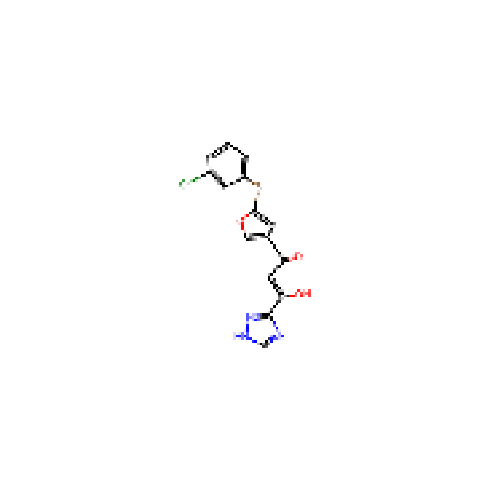 O=C(C=C(O)c1nc[nH]n1)c1coc(Sc2cccc(Cl)c2)c1